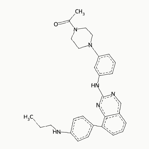 CCCNc1ccc(-c2cccc3cnc(Nc4cccc(N5CCN(C(C)=O)CC5)c4)nc23)cc1